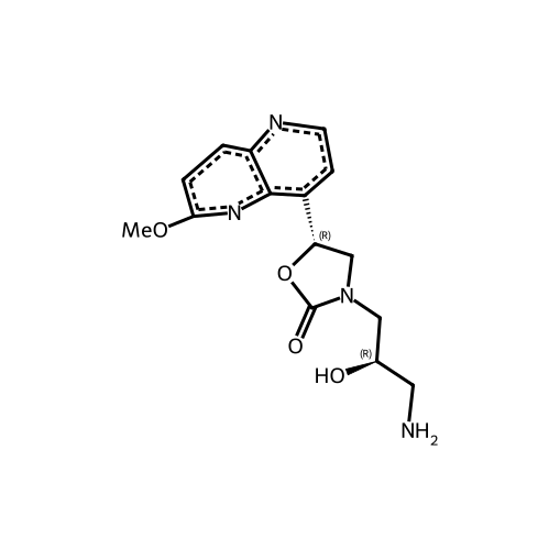 COc1ccc2nccc([C@@H]3CN(C[C@H](O)CN)C(=O)O3)c2n1